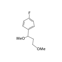 COCCC(OC)c1ccc(F)cc1